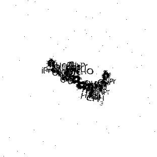 CC(C)C[C@H](NC=O)C(=O)N[C@@H](C(=O)N1[C@H](C(=O)NCC(=O)OC(C(=O)N2CCCC2)C(C)C)C[C@@]2(O)c3cc(-c4ccc5c(c4)[C@]4(O)C[C@@H](C(=O)NC(C(=O)OC(C(=O)N6CCCC6)C(C)C)C(C)C)N(C(=O)C[C@H](C)O)[C@@H]4N5)ccc3N[C@@H]12)[C@H](C)O